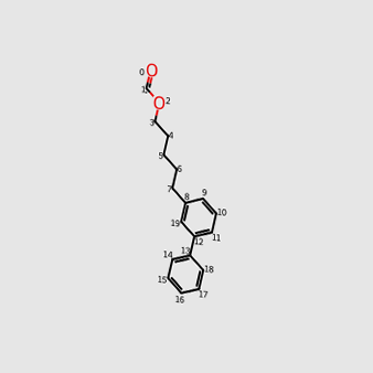 O=[C]OCCCCCc1cccc(-c2ccccc2)c1